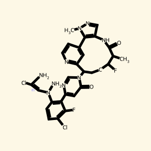 CC1C(=O)Nc2cnn(C)c2-c2ccnc(c2)C(n2cnc(-c3c(N(N)/C=C(\N)Cl)ccc(Cl)c3F)cc2=O)CCC1F